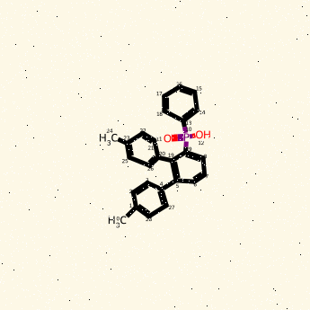 Cc1ccc(-c2cccc(P(=O)(O)c3ccccc3)c2-c2ccc(C)cc2)cc1